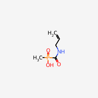 C=CCNC(=O)P(C)(=O)O